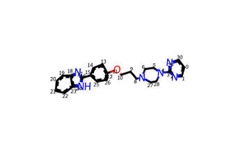 c1cnc(N2CCN(CCCOc3ccc(-c4nc5ccccc5[nH]4)cc3)CC2)nc1